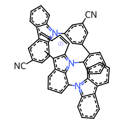 C=C/C=C\c1c(C)c2cccc(-n3c4ccccc4c4ccccc43)c2n1-c1ccccc1-c1cc(C#N)cc(-n2c3ccccc3c3cc(C#N)ccc32)c1